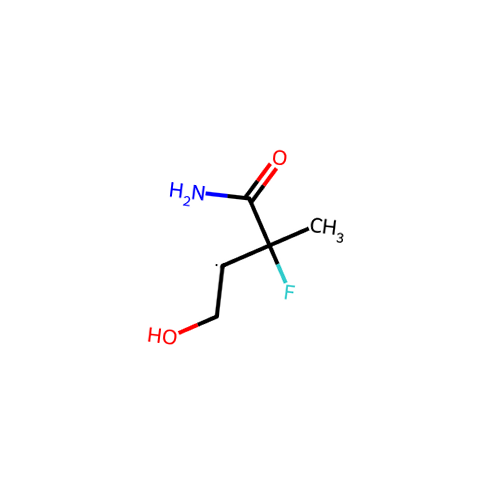 CC(F)([CH]CO)C(N)=O